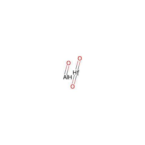 [O]=[AlH].[O]=[Hf]=[O]